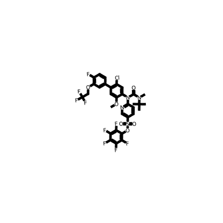 COc1cc(-c2ccc(F)c(OCC(F)(F)F)c2)c(Cl)cc1N(C(=O)N(C)C(C)(C)C)c1ccc(S(=O)(=O)Oc2c(F)c(F)c(F)c(F)c2F)cn1